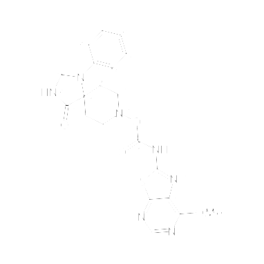 COc1ncnc2sc(NC(=O)ON3CCC4(CC3)C(=O)NCN4c3ccccc3)nc12